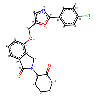 O=C1NCCCC1N1Cc2c(OCc3cnc(-c4ccc(Cl)c(Cl)c4)o3)cccc2C1=O